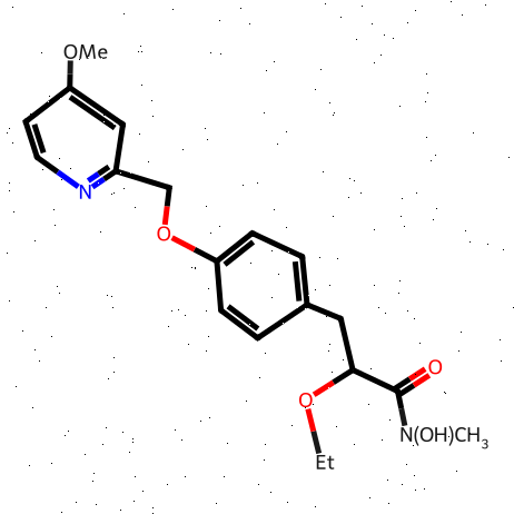 CCOC(Cc1ccc(OCc2cc(OC)ccn2)cc1)C(=O)N(C)O